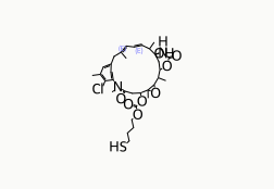 C/C1=C\C=C\C(C)C2(O)CC(OC(=O)N2)C(C)C2OC2(C)C(OC(=O)OCCCCS)CC(=O)N(C)c2cc(cc(C)c2Cl)C1